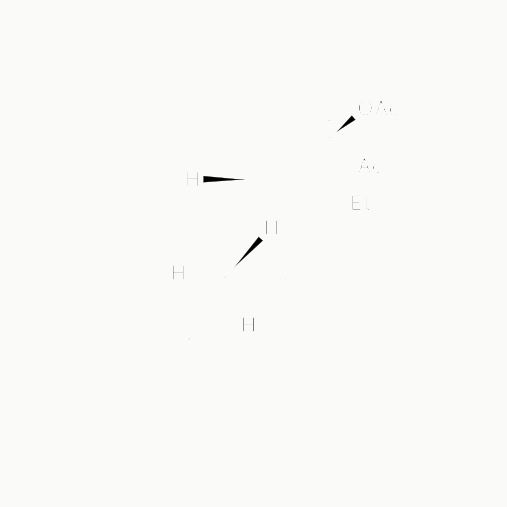 C=C1C[C@@]2(CC)[C@@H](CC[C@]2(OC(C)=O)C(C)=O)[C@@H]2CCC3=CCCC[C@@H]3[C@@H]12